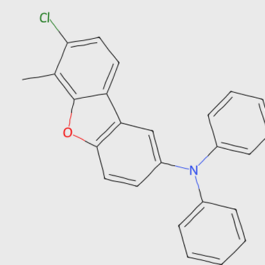 Cc1c(Cl)ccc2c1oc1ccc(N(c3ccccc3)c3ccccc3)cc12